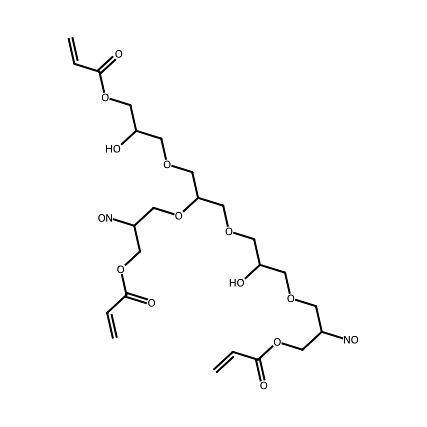 C=CC(=O)OCC(O)COCC(COCC(O)COCC(COC(=O)C=C)N=O)OCC(COC(=O)C=C)N=O